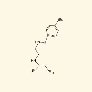 CC(C)[C@@H](CN)NC[C@H](C)NSc1ccc(C(C)(C)C)cc1